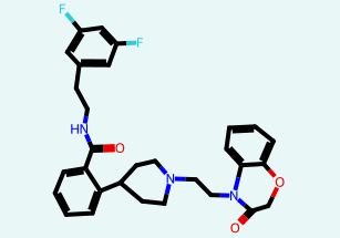 O=C(NCCc1cc(F)cc(F)c1)c1ccccc1C1CCN(CCN2C(=O)COc3ccccc32)CC1